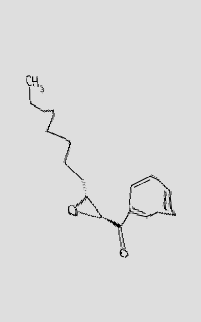 CCCCCCC[C@H]1O[C@@H]1C(=O)c1ccccc1